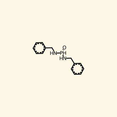 O=[PH](NCc1ccccc1)NCc1ccccc1